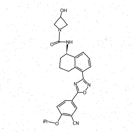 CC(C)Oc1ccc(-c2nc(-c3cccc4c3CCC[C@H]4NC(=O)N3CC(O)C3)no2)cc1C#N